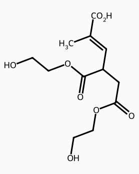 CC(=CC(CC(=O)OCCO)C(=O)OCCO)C(=O)O